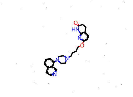 O=C1CCc2ccc(OCCCCN3CCN(c4cccc5ccncc45)CC3)nc2N1